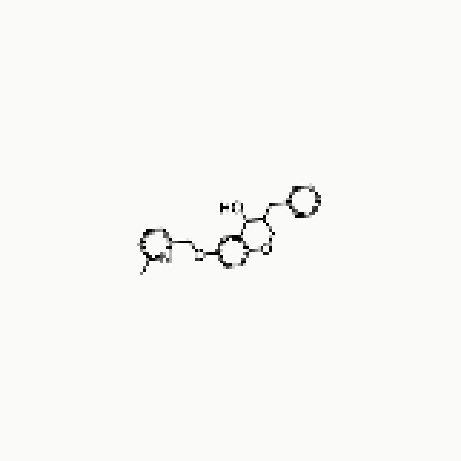 Cc1cccc(COc2ccc3c(c2)C(O)C(Cc2ccccc2)CO3)n1